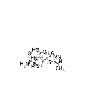 Cc1nnn(C)c1SCC1=C(C(=O)O)N2C(=O)C(N)[C@@H]2SC1